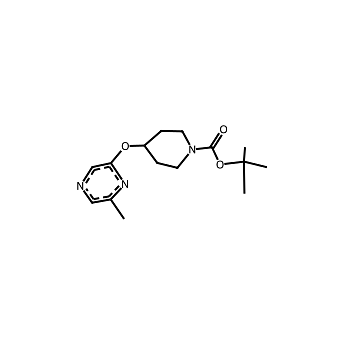 Cc1cncc(OC2CCN(C(=O)OC(C)(C)C)CC2)n1